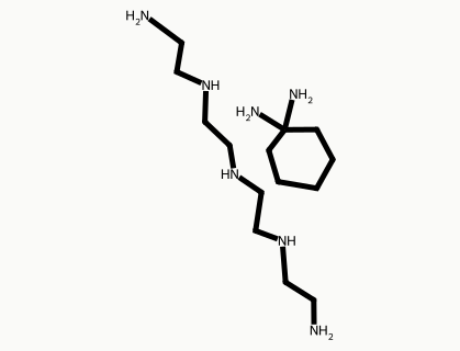 NC1(N)CCCCC1.NCCNCCNCCNCCN